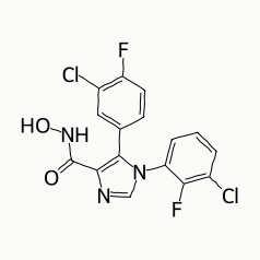 O=C(NO)c1ncn(-c2cccc(Cl)c2F)c1-c1ccc(F)c(Cl)c1